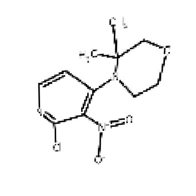 CC1(C)COCCN1c1ccnc(Cl)c1[N+](=O)[O-]